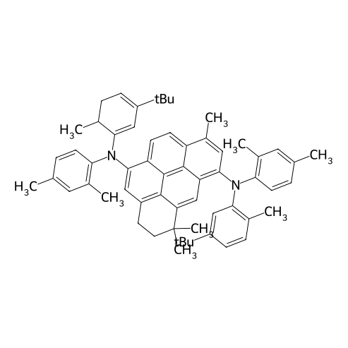 Cc1ccc(N(C2=CC(C(C)(C)C)=CCC2C)c2cc3c4c(cc5c(N(c6ccc(C)cc6C)c6cc(C(C)(C)C)ccc6C)cc(C)c6ccc2c4c65)C(C)(C)CC3)c(C)c1